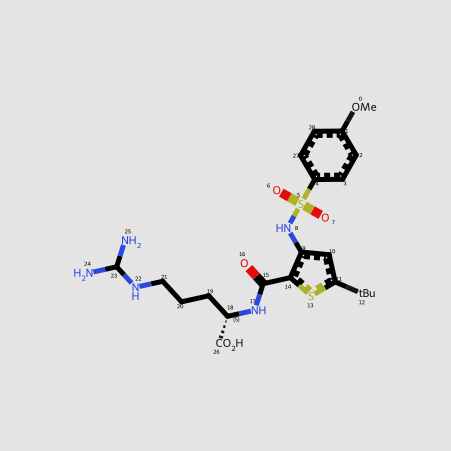 COc1ccc(S(=O)(=O)Nc2cc(C(C)(C)C)sc2C(=O)N[C@@H](CCCNC(N)N)C(=O)O)cc1